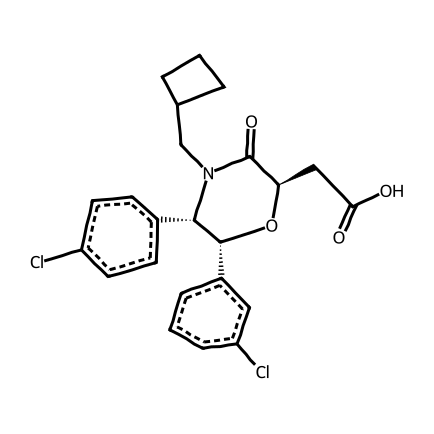 O=C(O)C[C@H]1O[C@H](c2cccc(Cl)c2)[C@H](c2ccc(Cl)cc2)N(CC2CCC2)C1=O